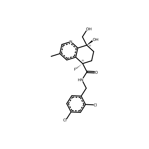 Cc1cnc2c(c1)[C@](F)(C(=O)NCc1ccc(Cl)cc1Cl)CC[C@@]2(O)CO